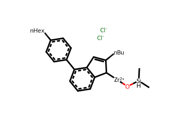 CCCCCCc1ccc(-c2cccc3c2C=C(CCCC)[CH]3[Zr+2][O][SiH](C)C)cc1.[Cl-].[Cl-]